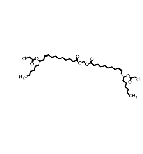 CCCCCC[C@@H](C/C=C\CCCCCCCC(=O)OCOC(=O)CCCCCCC/C=C\C[C@@H](CCCCCC)OC(=O)CCl)OC(=O)CCl